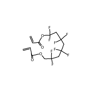 C=CC(=O)OCC(F)(F)CC(F)(F)CC(F)(F)CC(F)(F)OC(=O)C=C